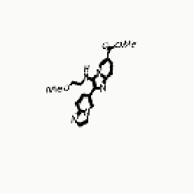 COCCNc1c(-c2ccc3nccn3c2)nc2ccc(C(=O)OC)cn12